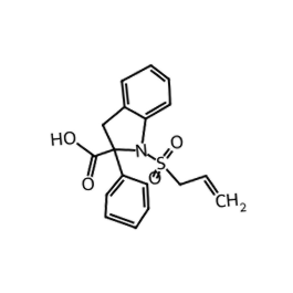 C=CCS(=O)(=O)N1c2ccccc2CC1(C(=O)O)c1ccccc1